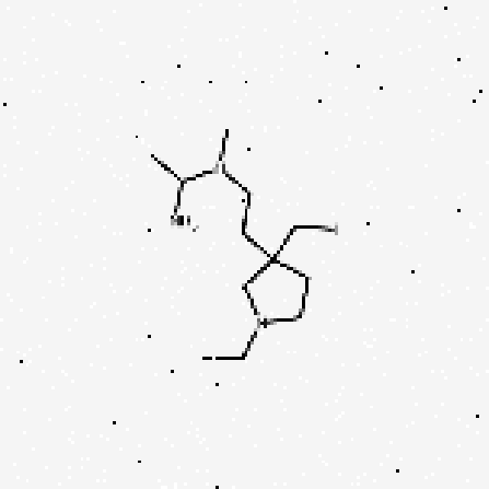 CCN1CCC(CI)(CCN(C)C(C)N)C1